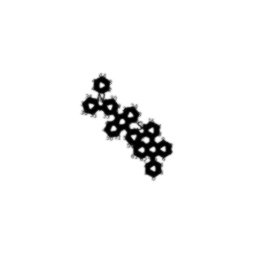 c1ccc(-c2c3ccccc3c(-c3cccc4sc5c(-c6c7ccccc7c(-c7ccc8c(c7)c7ccccc7n8-c7ccccc7)c7ccccc67)cccc5c34)c3ccccc23)cc1